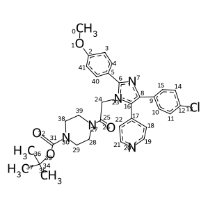 COc1ccc(-c2nc(-c3ccc(Cl)cc3)c(-c3ccncc3)n2CC(=O)N2CCN(C(=O)OC(C)(C)C)CC2)cc1